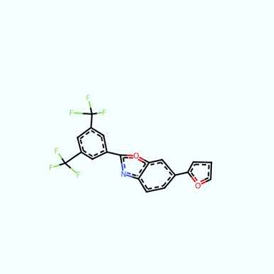 FC(F)(F)c1cc(-c2nc3ccc(-c4ccco4)cc3o2)cc(C(F)(F)F)c1